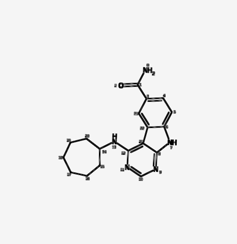 NC(=O)c1ccc2[nH]c3ncnc(NC4CCCCCC4)c3c2c1